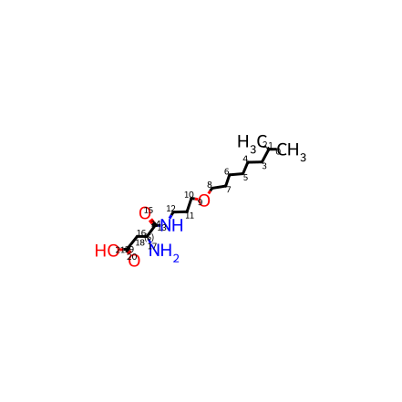 CC(C)CCCCCCOCCCNC(=O)[C@@H](N)CC(=O)O